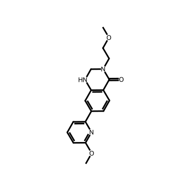 COCCN1CNc2cc(-c3cccc(OC)n3)ccc2C1=O